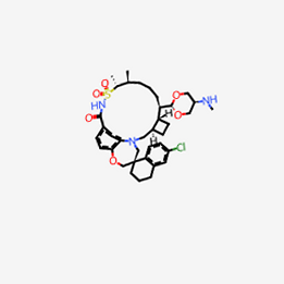 CN[C@H]1CO[C@H]([C@@H]2CCC[C@H](C)[C@@H](C)S(=O)(=O)NC(=O)c3ccc4c(c3)N(C[C@@H]3CC[C@H]32)C[C@@]2(CCCc3cc(Cl)ccc32)CO4)OC1